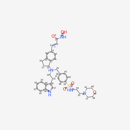 O=C(/C=C/c1ccc2c(c1)CCC2N(CCc1c[nH]c2ccccc12)Cc1ccc(S(=O)(=O)NCCN2CCOCC2)cc1)NO